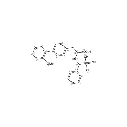 COc1ccccc1-c1ccc(C[C@H](NC(c2ccccc2)P(=O)(O)O)C(=O)O)cc1